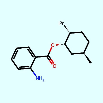 CC(C)[C@@H]1CC[C@@H](C)C[C@@H]1OC(=O)c1ccccc1N